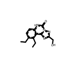 CCc1ccc2[nH]c(=O)n3nc(CO)nc3c2c1CC